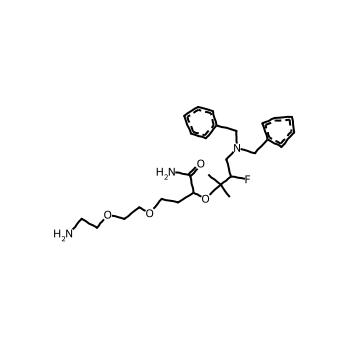 CC(C)(OC(CCOCCOCCN)C(N)=O)C(F)CN(Cc1ccccc1)Cc1ccccc1